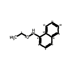 CCONc1cccc2ccccc12